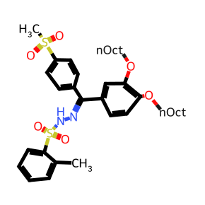 CCCCCCCCOc1ccc(C(=NNS(=O)(=O)c2ccccc2C)c2ccc(S(C)(=O)=O)cc2)cc1OCCCCCCCC